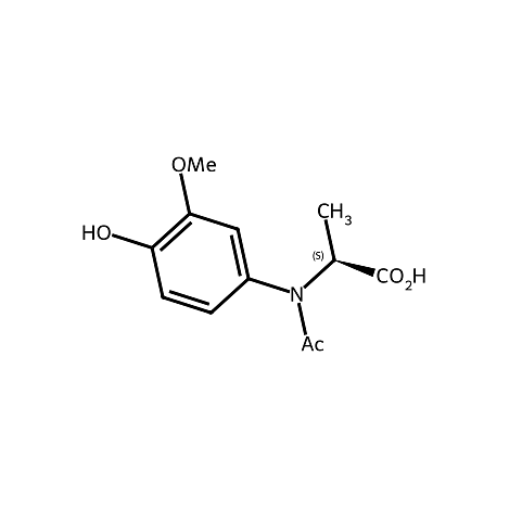 COc1cc(N(C(C)=O)[C@@H](C)C(=O)O)ccc1O